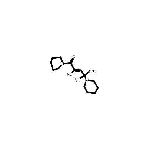 CC(C)(/C=C(\C#N)C(=O)N1CCCCC1)N1CCCCC1